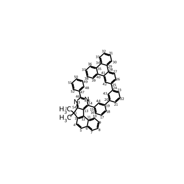 CC1(C)c2ccc3ccccc3c2-c2c(-c3cccc(-c4cccc(-c5ccc6c7ccccc7c7ccccc7c6c5)c4)c3)nc(-c3ccccc3)nc21